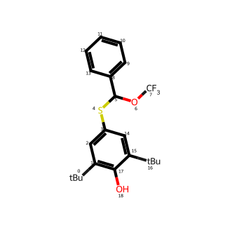 CC(C)(C)c1cc(SC(OC(F)(F)F)c2ccccc2)cc(C(C)(C)C)c1O